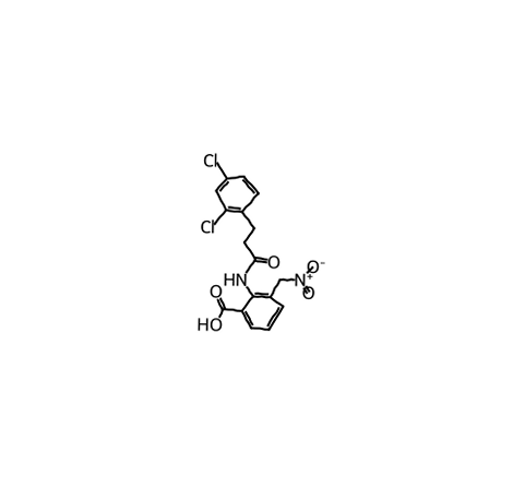 O=C(CCc1ccc(Cl)cc1Cl)Nc1c(C[N+](=O)[O-])cccc1C(=O)O